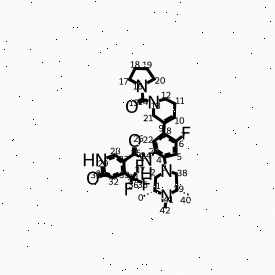 C[C@@H]1CN(c2cc(F)c(C3=CCCN(C(=O)N4CCCC4)C3)cc2NC(=O)c2c[nH]c(=O)cc2C(F)(F)F)C[C@H](C)N1C